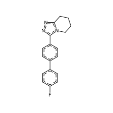 Fc1ccc(-c2ccc(-c3nnc4n3CCCC4)cc2)cc1